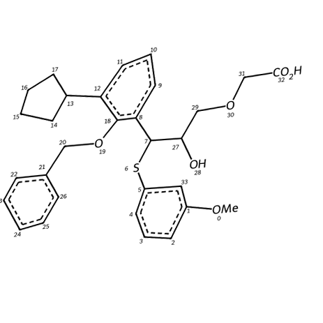 COc1cccc(SC(c2cccc(C3CCCC3)c2OCc2ccccc2)C(O)COCC(=O)O)c1